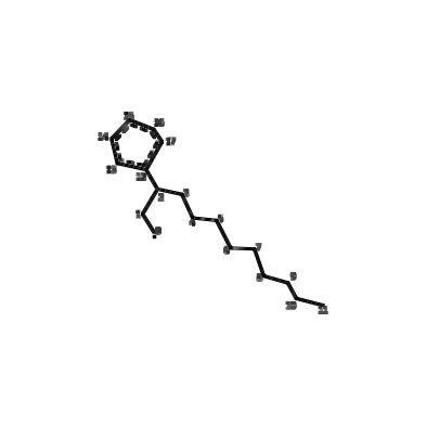 [CH2]CC(CCCCCCCCC)c1ccccc1